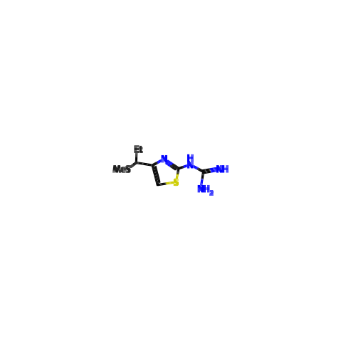 [CH2]CC(SC)c1csc(NC(=N)N)n1